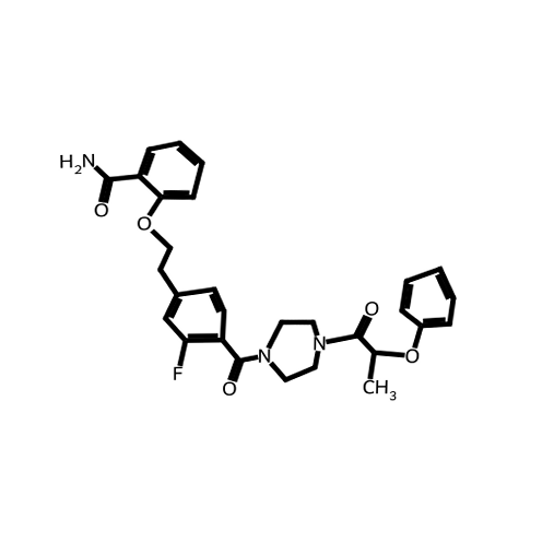 CC(Oc1ccccc1)C(=O)N1CCN(C(=O)c2ccc(CCOc3ccccc3C(N)=O)cc2F)CC1